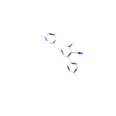 N#Cc1c(-c2ccc(Br)cc2)nc(Sc2nc(Cl)cc(Cl)n2)[nH]c1=O